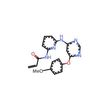 C=CC(=O)Nc1cccc(Nc2cc(Oc3ccc(OC)cc3)ncn2)n1